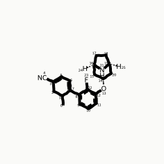 CC1CC(C#N)=CC=C1c1cccc(O[C@@H]2C[C@H]3CC[C@@H](C2)N3)c1F